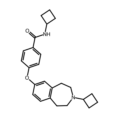 O=C(NC1CCC1)c1ccc(Oc2ccc3c(c2)CCN(C2CCC2)CC3)cc1